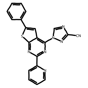 N#Cc1ncn(-c2nc(-c3ccccn3)nc3sc(-c4ccccc4)cc23)n1